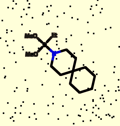 CC[Si](OC)(OC)N1CCC2(CCCCC2)CC1